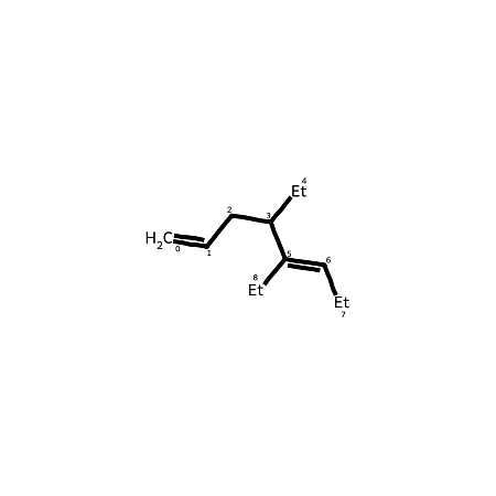 C=CC[C](CC)C(=CCC)CC